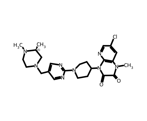 C[C@H]1CN(Cc2cnc(N3CCC(n4c(=O)c(=O)n(C)c5cc(Cl)cnc54)CC3)nc2)CCN1C